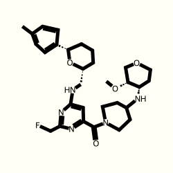 CO[C@@H]1COCC[C@@H]1NC1CCN(C(=O)c2cc(NC[C@H]3CCC[C@@H](c4ccc(C)cc4)O3)nc(CF)n2)CC1